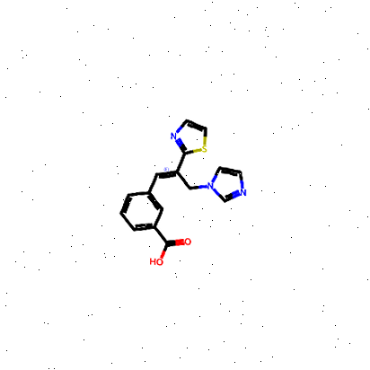 O=C(O)c1cccc(/C=C(\Cn2ccnc2)c2nccs2)c1